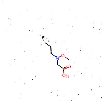 B.CCCN(CC(=O)O)OC